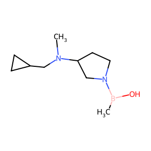 CB(O)N1CCC(N(C)CC2CC2)C1